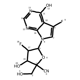 N#CC1(CO)OC(n2cc(F)c3c(O)ncnc32)C(F)C1O